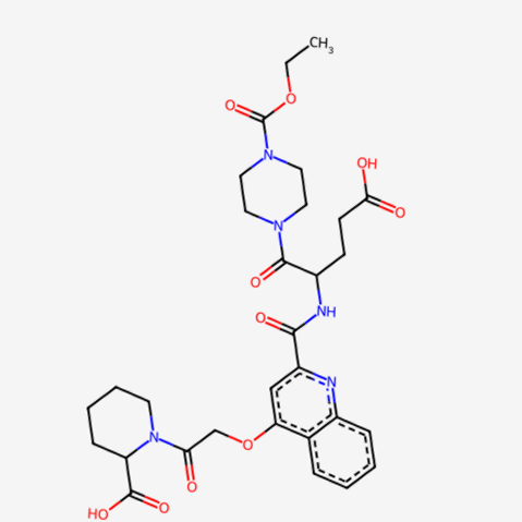 CCOC(=O)N1CCN(C(=O)C(CCC(=O)O)NC(=O)c2cc(OCC(=O)N3CCCCC3C(=O)O)c3ccccc3n2)CC1